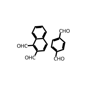 O=Cc1ccc(C=O)cc1.O=Cc1ccc2ccccc2c1C=O